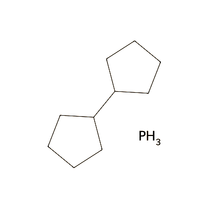 C1CCC(C2CCCC2)C1.P